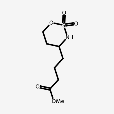 COC(=O)CCCC1CCOS(=O)(=O)N1